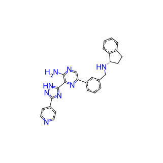 Nc1ncc(-c2cccc(CN[C@H]3CCc4ccccc43)c2)nc1-c1nc(-c2ccncc2)n[nH]1